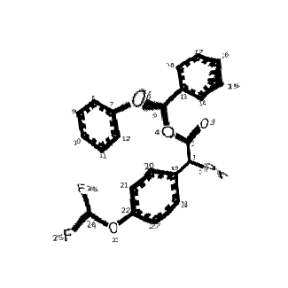 CC(C)C(C(=O)OC(Oc1ccccc1)c1ccccc1)c1ccc(OC(F)F)cc1